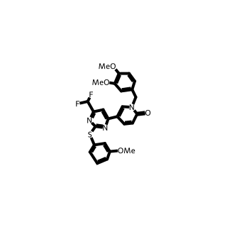 COc1cccc(Sc2nc(-c3ccc(=O)n(Cc4ccc(OC)c(OC)c4)c3)cc(C(F)F)n2)c1